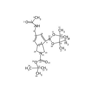 CC(=O)NCc1cc2c(c(B3OC(C)(C)C(C)(C)O3)c1)CN(C(=O)OC(C)(C)C)C2